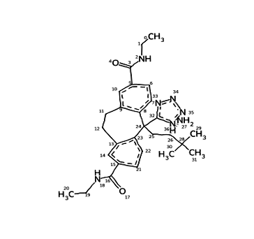 CCNC(=O)c1ccc2c(c1)CCc1cc(C(=O)NCC)ccc1C2(C[C@H](N)C(C)(C)C)c1nnn[nH]1